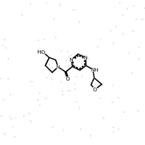 O=C(c1cc(NC2COC2)ncn1)N1CCC(O)C1